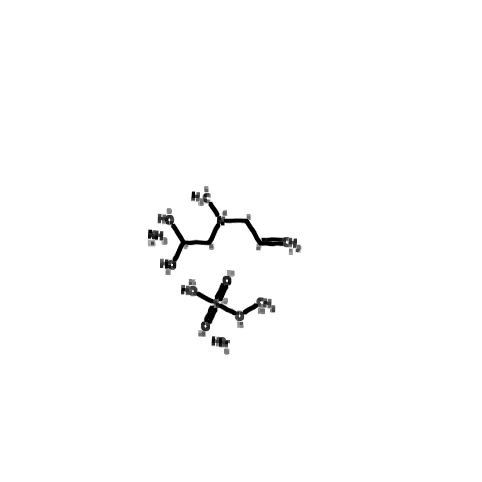 Br.C=CCN(C)CC(O)O.COS(=O)(=O)O.N